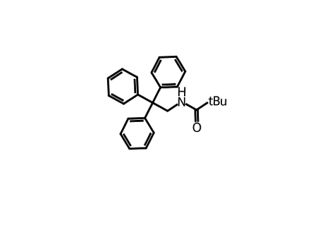 CC(C)(C)C(=O)NCC(c1ccccc1)(c1ccccc1)c1ccccc1